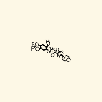 O=C(Nc1nc2cc3c(cc2[nH]1)OC(F)(F)O3)c1csc(N2CCOCC2)n1